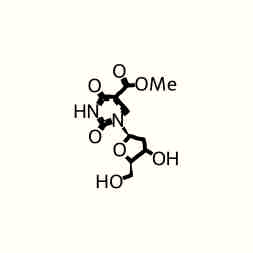 COC(=O)c1cn([C@H]2CC(O)[C@@H](CO)O2)c(=O)[nH]c1=O